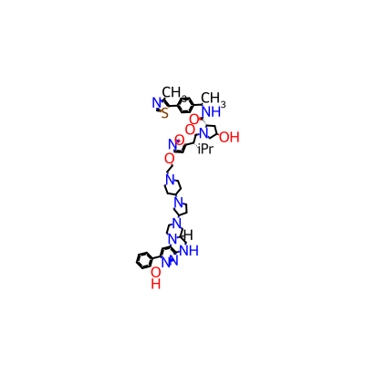 Cc1ncsc1-c1ccc([C@H](C)NC(=O)[C@@H]2C[C@@H](O)CN2C(=O)[C@@H](c2cc(OCCN3CCC(N4CCC(N5CCN6c7cc(-c8ccccc8O)nnc7NC[C@H]6C5)C4)CC3)no2)C(C)C)cc1